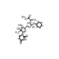 CC(C)OC(=O)C(C)N[P@@](=O)(OCC1OC(n2ccc(=O)[nH]c2=O)[C@](C)(Cl)[C@@H]1O)Oc1ccccc1